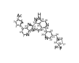 CC(=O)c1ccc(-c2ccnc3[nH]c(-c4n[nH]c5cnc(-c6cncc(CN7CCC(F)(F)C7)c6)c(F)c45)nc23)s1